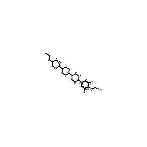 CCCC1COC(C2CCC(C3CCC(c4cc(F)c(OCF)c(F)c4)CC3)CC2)OC1